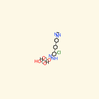 O[C@@H]1CO[C@H]2[C@@H]1OC[C@H]2Oc1nc2cc(-c3ccc(-c4ccc(-n5nccn5)cc4)cc3)c(Cl)cc2[nH]1